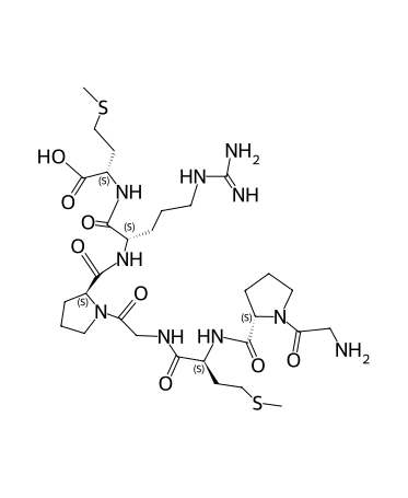 CSCC[C@H](NC(=O)[C@H](CCCNC(=N)N)NC(=O)[C@@H]1CCCN1C(=O)CNC(=O)[C@H](CCSC)NC(=O)[C@@H]1CCCN1C(=O)CN)C(=O)O